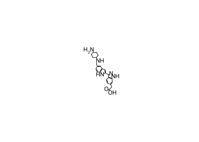 NC1CCC(NCc2ccc3[nH]c(-c4n[nH]c5cc(CC(=O)O)ccc45)cc3c2)CC1